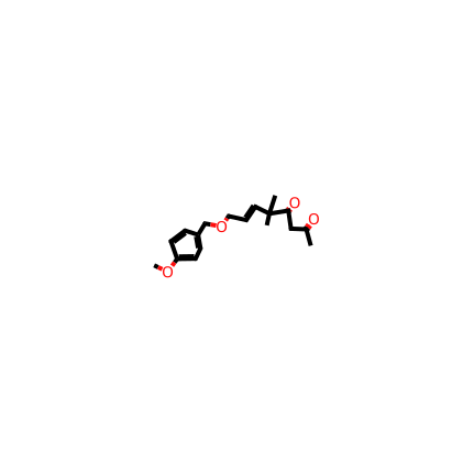 COc1ccc(COC/C=C/C(C)(C)C(=O)CC(C)=O)cc1